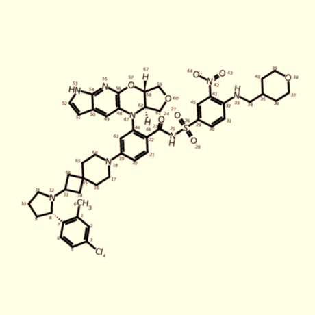 Cc1cc(Cl)ccc1[C@@H]1CCCN1C1CC2(CCN(c3ccc(C(=O)NS(=O)(=O)c4ccc(NCC5CCOCC5)c([N+](=O)[O-])c4)c(N4c5cc6cc[nH]c6nc5O[C@@H]5COC[C@H]54)c3)CC2)C1